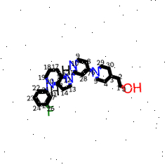 OCCC1CCN(c2ccnc(N3CC[C@@H]4[C@H]3CCCN4c3cccc(F)c3)c2)CC1